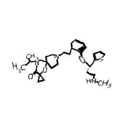 CNCC[C@H](Oc1ccccc1CCN1CCC2(CC1)CN(C(C)C)C(=O)C1(CC1)O2)c1cccs1